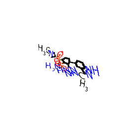 Cc1n[nH]c2ccc(-c3ccc(S(=O)(=O)C4CN(C)C4)c(S(N)(=O)=O)c3-c3nnn[nH]3)cc12